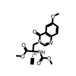 C#C[C@](Cn1cnc2ccc(OC)cc2c1=O)(NC(=O)OC)C(=O)OC